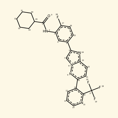 O=C(Nc1cc(-c2cn3nc(-c4cccnc4C(F)(F)F)ccc3n2)ccc1F)C1CCCCC1